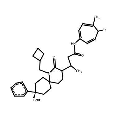 CCCC(C)[C@]1(c2ccccc2)CC[C@@]2(CCC(C(C)CC(=O)NC3=CC=C(C)C(CC)C=C3)C(=O)N2CC2CCC2)CC1